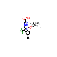 C[Si](C)(C)CCOCn1c(Cn2cc(C(=O)O)nn2)c(C(F)(F)F)c2cc(C3CC3)ccc21